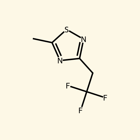 Cc1nc(CC(F)(F)F)ns1